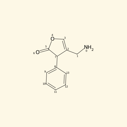 NCC1=COC(=O)C1c1ccccc1